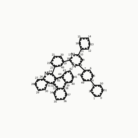 c1ccc(-c2ccc(-c3cc(-c4ccccc4)nc(-c4cccc(-c5nc6ccccc6c6c7ccccc7c7ccccc7c56)c4)n3)cc2)cc1